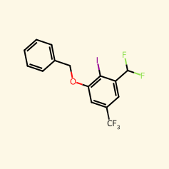 FC(F)c1cc(C(F)(F)F)cc(OCc2ccccc2)c1I